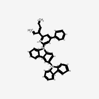 C=C/C=C(\C=C)c1cc(-c2ccccc2)cc(-n2c3ccccc3c3cc(-n4c5ccccc5c5ccccc54)ccc32)n1